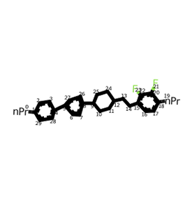 CCCc1ccc(-c2ccc(C3CCC(CCc4ccc(CCC)c(F)c4F)CC3)cc2)cc1